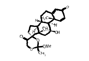 COC1(C)OCC(=O)[C@]2(CC[C@H]3[C@@H]4CCC5=CC(=O)C=C[C@]5(C)[C@H]4[C@@H](O)C[C@@]32C)O1